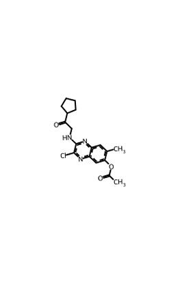 CC(=O)Oc1cc2nc(Cl)c(NCC(=O)C3CCCC3)nc2cc1C